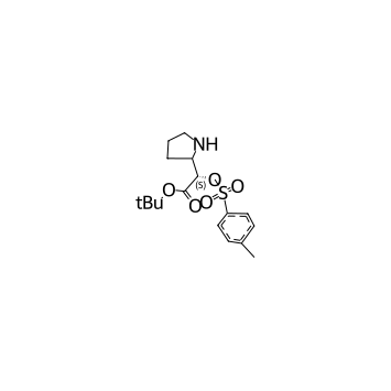 Cc1ccc(S(=O)(=O)O[C@H](C(=O)OC(C)(C)C)C2CCCN2)cc1